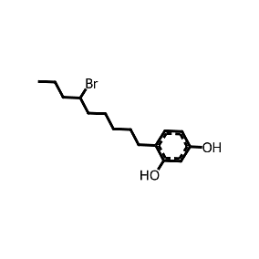 CCCC(Br)CCCCCc1ccc(O)cc1O